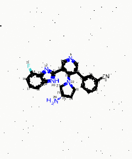 N#Cc1cccc(-c2cncc(-c3nc4c(F)cccc4[nH]3)c2N2CC[C@H](N)C2)c1